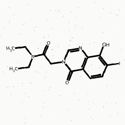 CCN(CC)C(=O)Cn1cnc2c(O)c(I)ccc2c1=O